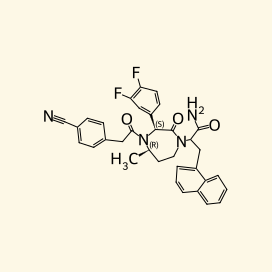 C[C@@H]1CCN(C(Cc2cccc3ccccc23)C(N)=O)C(=O)[C@H](c2ccc(F)c(F)c2)N1C(=O)Cc1ccc(C#N)cc1